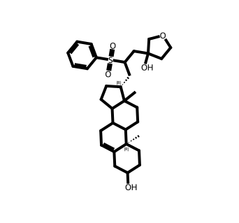 CC12CCC3C(CC=C4CC(O)CC[C@@]43C)C1CC[C@@H]2CC(CC1(O)CCOC1)S(=O)(=O)c1ccccc1